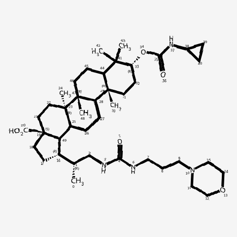 C[C@@H](CNC(=O)NCCCN1CCOCC1)[C@@H]1CC[C@]2(C(=O)O)CC[C@]3(C)C(CCC4[C@@]5(C)CC[C@@H](OC(=O)NC6CC6)C(C)(C)C5CC[C@]43C)C12